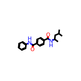 CC(C)CC(C)NC(=O)c1ccc(C(=O)Nc2ccccc2)cc1